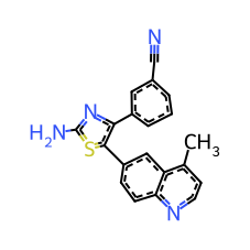 Cc1ccnc2ccc(-c3sc(N)nc3-c3cccc(C#N)c3)cc12